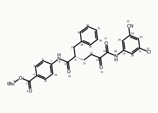 CC(C)(C)OC(=O)c1ccc(NC(=O)[C@@H](CCC(=O)C(=O)Nc2cc(Cl)cc(C#N)c2)Cc2ccccc2)cc1